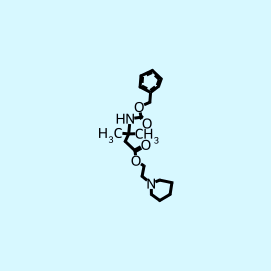 CC(C)(CC(=O)OCCN1CCCCC1)NC(=O)OCc1ccccc1